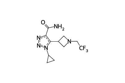 NC(=O)c1nnn(C2CC2)c1C1CN(CC(F)(F)F)C1